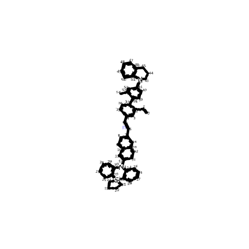 CCc1cc(/C=C/c2ccc3cc(N4c5ccccc5[Si]5(CCCC5)c5ccccc54)ccc3c2)ccc1-c1ccc(N2CCCc3ccccc32)cc1C